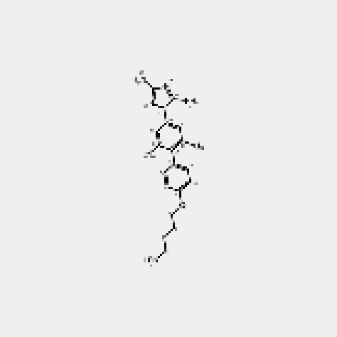 NCCCCOc1ccc(-c2c(Cl)cc(-n3nc(N)nc3N)cc2Cl)cc1